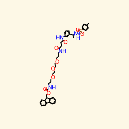 C/C(=N\NS(=O)(=O)c1ccc(C)cc1)c1cccc(NC(=O)CCC(=O)NCCCOCCOCCOCCCNC(=O)OCC2c3ccccc3-c3ccccc32)c1